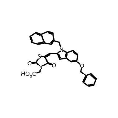 O=C(O)CN1C(=O)S/C(=C/c2cc3cc(OCc4ccccc4)ccc3n2Cc2ccc3ccccc3c2)C1=O